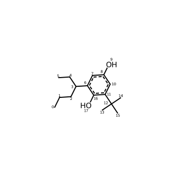 CCCC(CC)c1cc(O)cc(C(C)(C)C)c1O